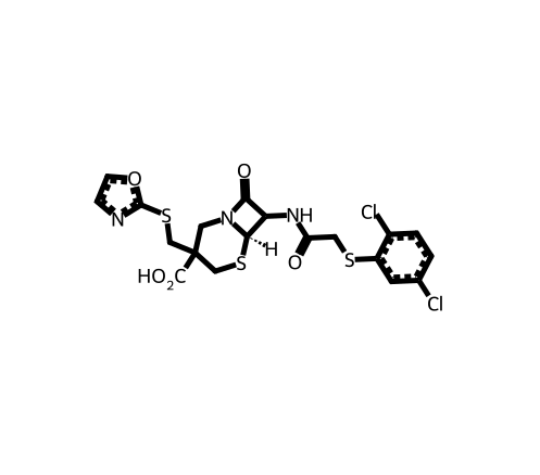 O=C(CSc1cc(Cl)ccc1Cl)NC1C(=O)N2CC(CSc3ncco3)(C(=O)O)CS[C@H]12